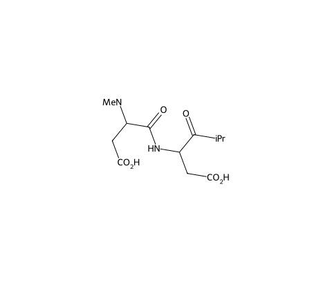 CNC(CC(=O)O)C(=O)NC(CC(=O)O)C(=O)C(C)C